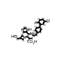 O=C(O)[C@@H](C[C@@H](Cc1ccc(-c2cc(Cl)ccc2F)cc1)NCc1cnn[nH]1)CN1CC(CO)C1